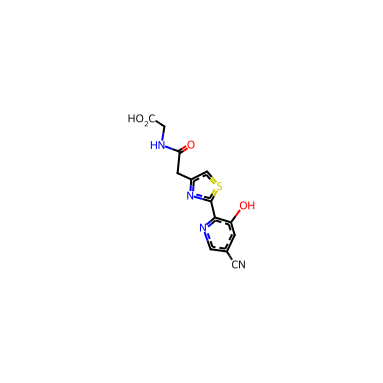 N#Cc1cnc(-c2nc(CC(=O)NCC(=O)O)cs2)c(O)c1